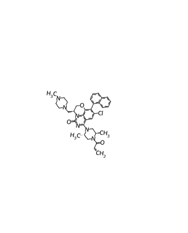 C=CC(=O)N1C[C@H](C)N(c2nc(=O)n3c4c(c(-c5cccc6ccccc56)c(Cl)cc24)OC[C@@H]3CN2CCN(C)CC2)C[C@H]1C